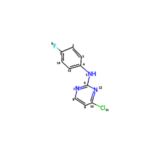 Fc1ccc(Nc2nccc(Cl)n2)cc1